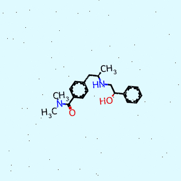 C[C@H](Cc1ccc(C(=O)N(C)C)cc1)NC[C@H](O)c1ccccc1